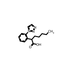 CCCCCC(C(=O)O)c1ccccc1-n1ccnn1